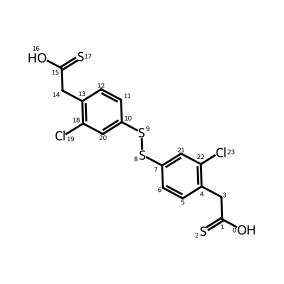 OC(=S)Cc1ccc(SSc2ccc(CC(O)=S)c(Cl)c2)cc1Cl